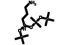 C[Si](C)(C)O[SiH](CCCN)O[Si](C)(C)O[Si](C)(C)C